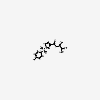 CCC(O)C(=O)CC(=O)c1ccn(S(=O)(=O)c2ccc(C)cc2)n1